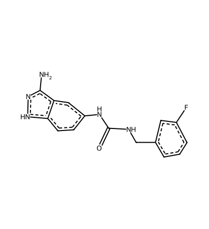 Nc1n[nH]c2ccc(NC(=O)NCc3cccc(F)c3)cc12